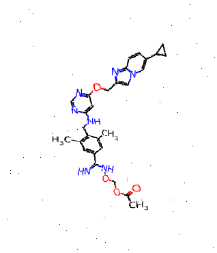 CC(=O)OCONC(=N)c1cc(C)c(CNc2cc(OCc3cn4cc(C5CC5)ccc4n3)ncn2)c(C)c1